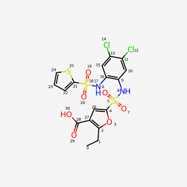 CCc1oc(S(=O)(=O)Nc2cc(Cl)c(Cl)cc2NS(=O)(=O)c2cccs2)cc1C(=O)O